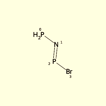 PN=PBr